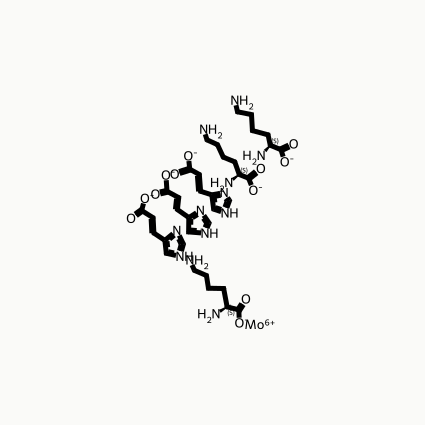 NCCCC[C@H](N)C(=O)[O-].NCCCC[C@H](N)C(=O)[O-].NCCCC[C@H](N)C(=O)[O-].O=C([O-])C=Cc1c[nH]cn1.O=C([O-])C=Cc1c[nH]cn1.O=C([O-])C=Cc1c[nH]cn1.[Mo+6]